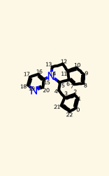 c1ccc(CC2c3ccccc3CCN2c2cccnc2)cc1